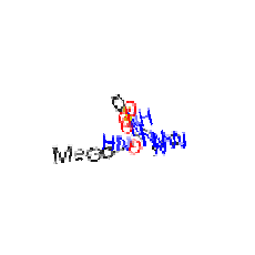 COc1ccc(CNC(=O)CC2CN(c3cc(C)nc(-n4ccnc4)n3)CCN2C(=O)NS(=O)(=O)c2ccccc2)cc1